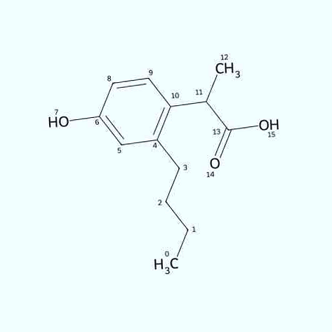 CCCCc1cc(O)ccc1C(C)C(=O)O